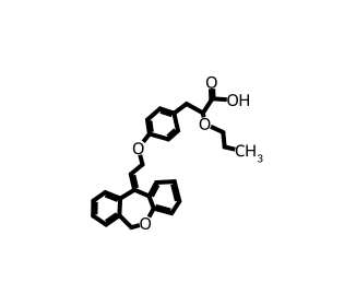 CCCOC(Cc1ccc(OCC=C2c3ccccc3COc3ccccc32)cc1)C(=O)O